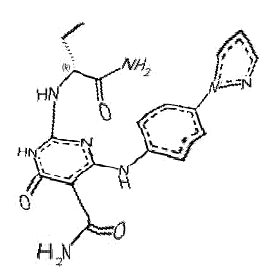 CC[C@@H](Nc1nc(Nc2ccc(-n3cccn3)cc2)c(C(N)=O)c(=O)[nH]1)C(N)=O